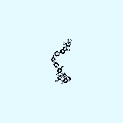 CCc1cc(Nc2ncc(Br)c(Nc3ccc4nccnc4c3NS(C)(=O)=O)n2)c(OC)cc1N1CCC(N2CC[C@@H](CN3CCN(c4ccc5c(c4)CN([C@H]4CCC(=O)NC4=O)C5=O)CC3)C2)CC1